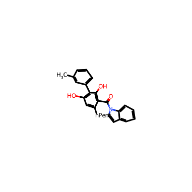 CCCCCc1cc(O)c(-c2cccc(C)c2)c(O)c1C(=O)n1ccc2ccccc21